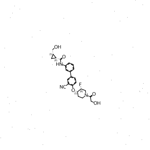 N#Cc1cc(-c2cccc(NC(=O)[C@@H]3C[C@@H]3CO)c2)ccc1O[C@H]1CCN(C(=O)CO)C[C@H]1F